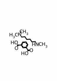 CNCCCCCCN(C)C.O=C(O)c1cccc(C(=O)O)c1